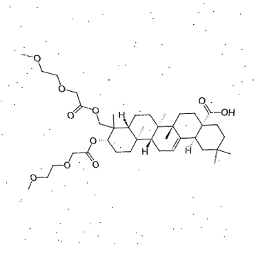 COCCOCC(=O)OCC1(C)[C@@H](OC(=O)COCCOC)CC[C@]2(C)[C@H]3CC=C4[C@@H]5CC(C)(C)CC[C@]5(C(=O)O)CC[C@@]4(C)[C@]3(C)CC[C@@H]12